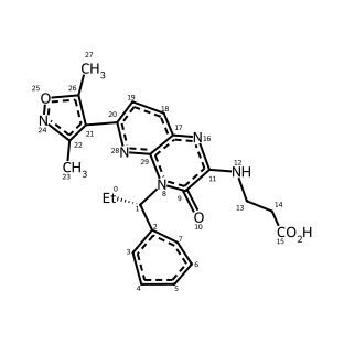 CC[C@@H](c1ccccc1)n1c(=O)c(NCCC(=O)O)nc2ccc(-c3c(C)noc3C)nc21